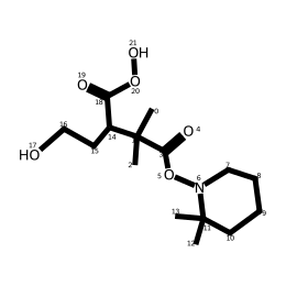 CC(C)(C(=O)ON1CCCCC1(C)C)C(CCO)C(=O)OO